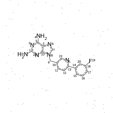 Nc1nc(N)c2ncn(Cc3ccc(-c4cccc(F)c4)nc3)c2n1